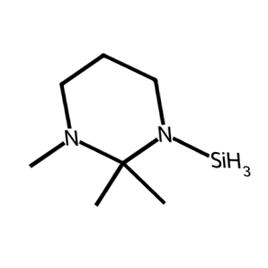 CN1CCCN([SiH3])C1(C)C